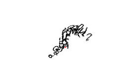 CC(C)C1=C2[C@H]3CC[C@@H]4[C@@]5(C)CC[C@H](OC(=O)[C@H]6C[C@@H](Cc7ccccc7)C6(C)C)C(C)(C)[C@@H]5CC[C@@]4(C)[C@]3(C)CC[C@@]2(NC(=O)C2(N)CCCC2)CC1=O